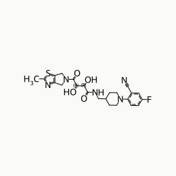 Cc1nc2c(s1)CN(C(=O)[C@H](O)[C@@H](O)C(=O)NCC1CCN(c3ccc(F)cc3C#N)CC1)C2